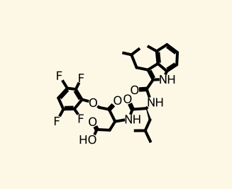 Cc1cccc2[nH]c(C(=O)N[C@@H](CC(C)C)C(=O)NC(CC(=O)O)C(=O)COc3c(F)c(F)cc(F)c3F)c(CC(C)C)c12